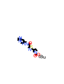 CC(C)(C)OC(=O)N1CCC(c2ncc(C(=O)NCc3ccn4ccnc4c3)s2)C1